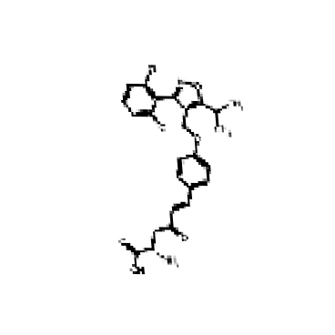 CC(C)c1onc(-c2c(Cl)cccc2Cl)c1COc1ccc(C=CC(=O)C[C@H](N)C(=O)O)cc1